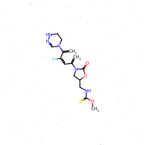 C=C(/C(F)=C\C(=C)N1CC(CNC(=S)OC)OC1=O)N1C=NNCC1